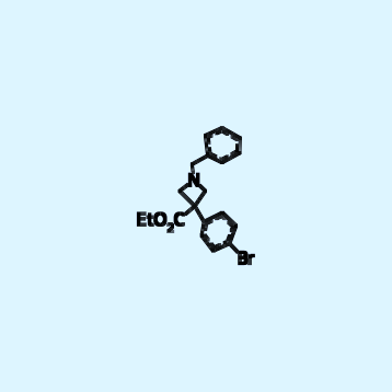 CCOC(=O)C1(c2ccc(Br)cc2)CN(Cc2ccccc2)C1